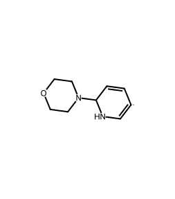 [C]1=CNC(N2CCOCC2)C=C1